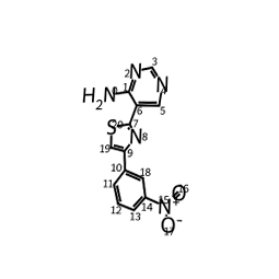 Nc1ncncc1-c1nc(-c2cccc([N+](=O)[O-])c2)cs1